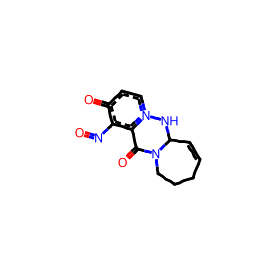 O=Nc1c2n(ccc1=O)NC1C=CCCCN1C2=O